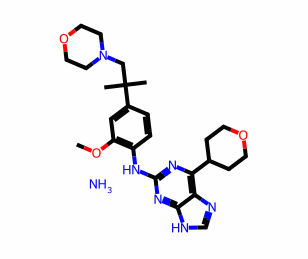 COc1cc(C(C)(C)CN2CCOCC2)ccc1Nc1nc(C2CCOCC2)c2nc[nH]c2n1.N